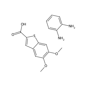 COc1cc2cc(C(=O)O)sc2cc1OC.Nc1ccccc1N